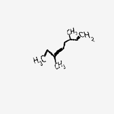 C=CC(C)C/C=C(/C)CC